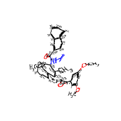 COc1cc(OC)cc(C2OC2[C@H]2[C@H](C)[C@H](NC(=O)c3ccc4ccccc4c3)C[C@H]3C(C)(C)CCC[C@]23C)c1